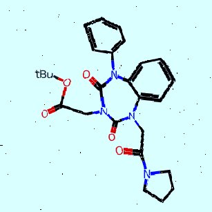 CC(C)(C)OC(=O)CN1C(=O)N(CC(=O)N2CCCC2)c2ccccc2N(c2ccccc2)C1=O